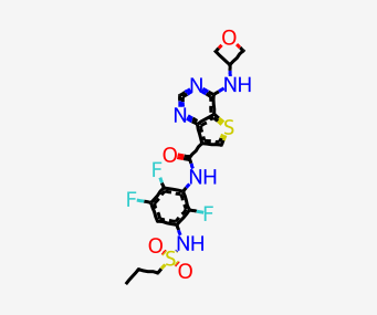 CCCS(=O)(=O)Nc1cc(F)c(F)c(NC(=O)c2csc3c(NC4COC4)ncnc23)c1F